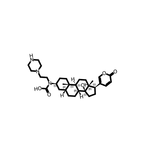 C[C@]12CC[C@H](N(CCN3CCNCC3)C(=O)O)C[C@H]1CC[C@@H]1[C@@H]2CC[C@]2(C)[C@@H](c3ccc(=O)oc3)CC[C@]12O